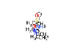 Cn1nc(C(C)(C)C)cc1NC(=O)C(C)(C)SCC1CCCCO1